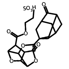 O=C1C2CC3CC1CC(C(=O)OC1C4OC(=O)C5C4OC1C5C(=O)OCCS(=O)(=O)O)(C3)C2